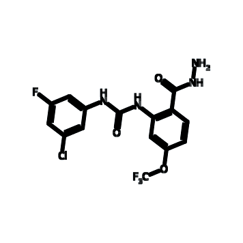 NNC(=O)c1ccc(OC(F)(F)F)cc1NC(=O)Nc1cc(F)cc(Cl)c1